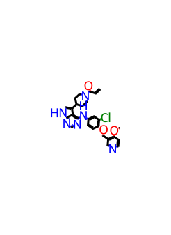 C=CC(=O)N1CCC(c2c[nH]c3ncnc(Nc4ccc(OCc5cnccc5OC)c(Cl)c4)c23)CC1